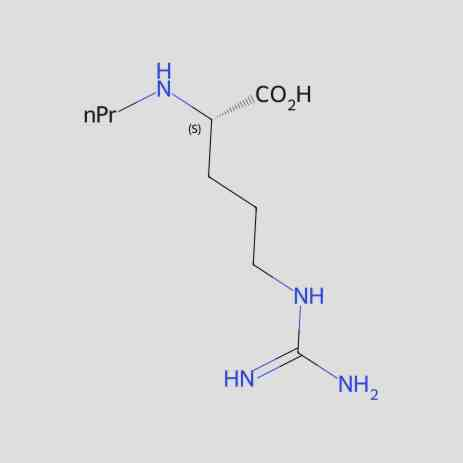 CCCN[C@@H](CCCNC(=N)N)C(=O)O